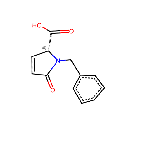 O=C(O)[C@H]1C=CC(=O)N1Cc1ccccc1